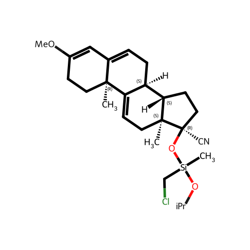 COC1=CC2=CC[C@@H]3C(=CC[C@@]4(C)[C@H]3CC[C@@]4(C#N)O[Si](C)(CCl)OC(C)C)[C@@]2(C)CC1